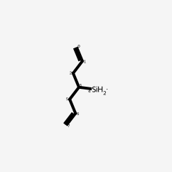 C=CCC([SiH2])CC=C